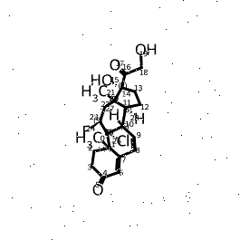 C[C@]12CCC(=O)C=C1C=C[C@H]1[C@@H]3CC[C@](O)(C(=O)CO)[C@@]3(C)C[C@H](F)[C@@]12Cl